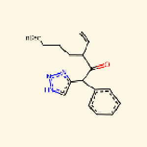 C=CC(CCCCCCCCCCCCC)C(=O)C(c1ccccc1)c1c[nH]nn1